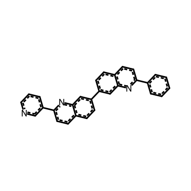 c1ccc(-c2ccc3ccc(-c4ccc5ccc(-c6cccnc6)nc5c4)cc3n2)cc1